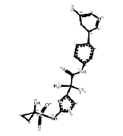 CC(C)(C(=O)Nc1ccc(C2C=NC=C(Cl)C2)cc1)c1csc(NS(=O)(=O)C2(C)CC2)n1